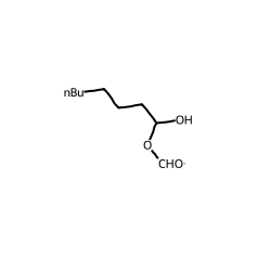 CCCCCCCC(O)O[C]=O